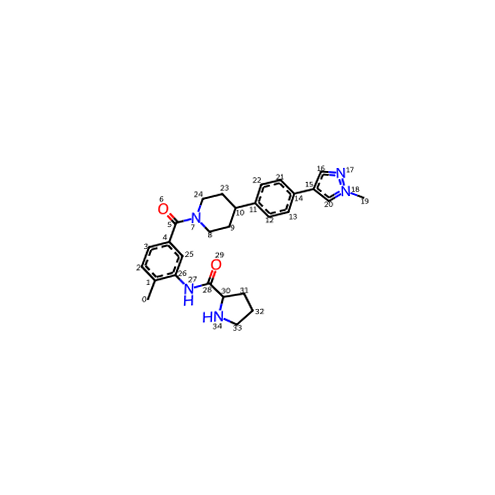 Cc1ccc(C(=O)N2CCC(c3ccc(-c4cnn(C)c4)cc3)CC2)cc1NC(=O)C1CCCN1